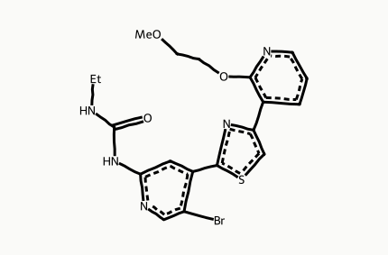 CCNC(=O)Nc1cc(-c2nc(-c3cccnc3OCCOC)cs2)c(Br)cn1